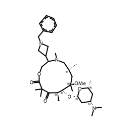 CO[C@]1(C)C[C@@H](C)CN(C)C(C2CN(Cc3ccccc3)C2)COC(=O)C(C)(C)C(=O)[C@H](C)[C@H]1O[C@H]1C[C@@H](N(C)C)C[C@@H](C)O1